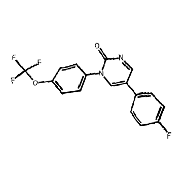 O=c1ncc(-c2ccc(F)cc2)cn1-c1ccc(OC(F)(F)F)cc1